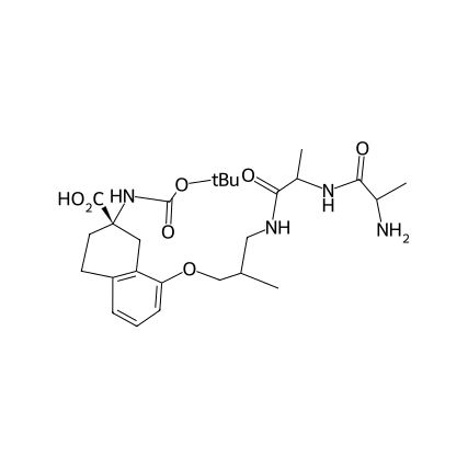 CC(CNC(=O)C(C)NC(=O)C(C)N)COc1cccc2c1C[C@](NC(=O)OC(C)(C)C)(C(=O)O)CC2